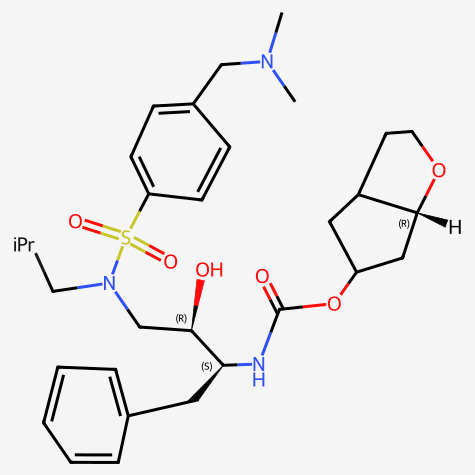 CC(C)CN(C[C@@H](O)[C@H](Cc1ccccc1)NC(=O)OC1CC2CCO[C@@H]2C1)S(=O)(=O)c1ccc(CN(C)C)cc1